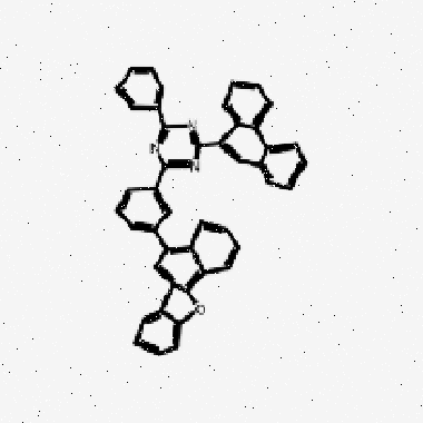 c1ccc(-c2nc(-c3cccc(-c4cc5c6ccccc6oc5c5ccccc45)c3)nc(-c3cc4ccccc4c4ccccc34)n2)cc1